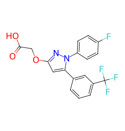 O=C(O)COc1cc(-c2cccc(C(F)(F)F)c2)n(-c2ccc(F)cc2)n1